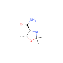 C[C@H]1OC(C)(C)N[C@@H]1C(N)=O